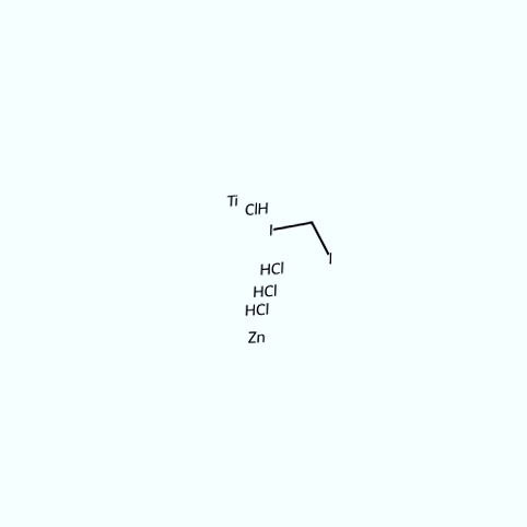 Cl.Cl.Cl.Cl.ICI.[Ti].[Zn]